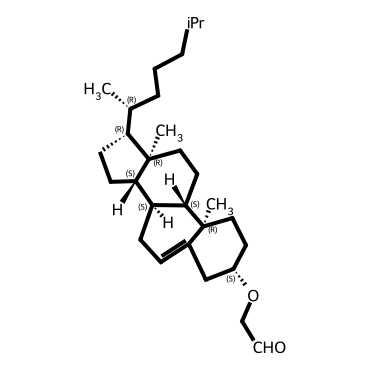 CC(C)CCC[C@@H](C)[C@H]1CC[C@H]2[C@@H]3CC=C4C[C@@H](OCC=O)CC[C@]4(C)[C@H]3CC[C@]12C